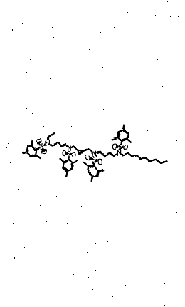 CCCCCCCCCCN(CCCCN(CC1CC1CN(CCCCN(CC)S(=O)(=O)c1c(C)cc(C)cc1C)S(=O)(=O)c1c(C)cc(C)cc1C)S(=O)(=O)c1c(C)cc(C)cc1C)S(=O)(=O)c1c(C)cc(C)cc1C